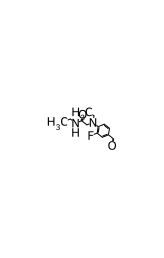 CCNC(=O)CN(CC)c1ccc(C=O)cc1F